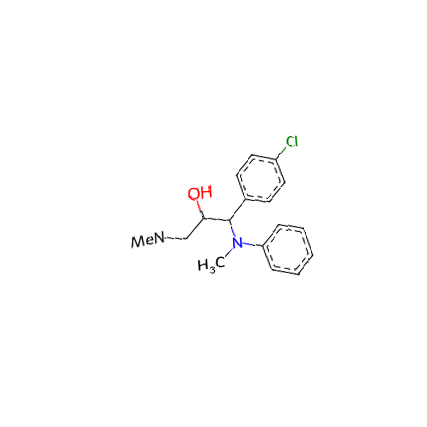 CNCC(O)C(c1ccc(Cl)cc1)N(C)c1ccccc1